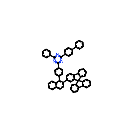 c1ccc(-c2ccc(-c3nc(-c4ccccc4)nc(-c4ccc(-c5c(-c6ccc7c(c6)C6(c8ccccc8-c8ccccc86)c6ccccc6-7)ccc6ccccc56)cc4)n3)cc2)cc1